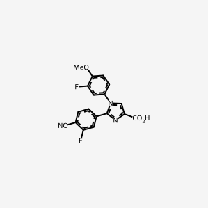 COc1ccc(-n2cc(C(=O)O)nc2-c2ccc(C#N)c(F)c2)cc1F